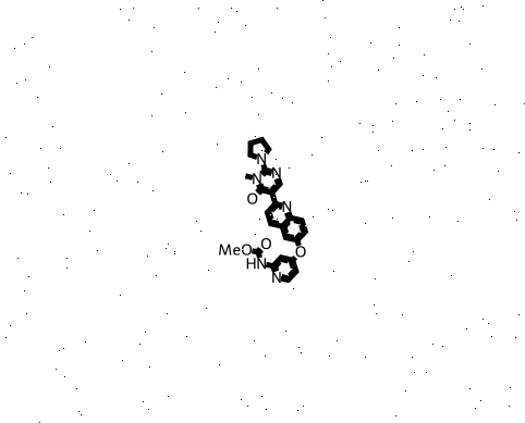 COC(=O)Nc1cc(Oc2ccc3nc(-c4cnc(N5CCCC5)n(C)c4=O)ccc3c2)ccn1